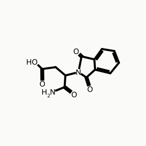 NC(=O)C(CC(=O)O)N1C(=O)c2ccccc2C1=O